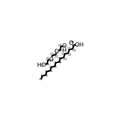 CCCCCCCCCCCCCCCC(=O)O.OCCOCCOCCO